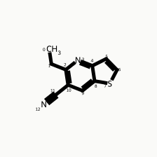 CCc1nc2ccsc2cc1C#N